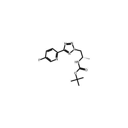 C[C@@H](Cn1nnc(-c2ccc(F)cn2)n1)NC(=O)OC(C)(C)C